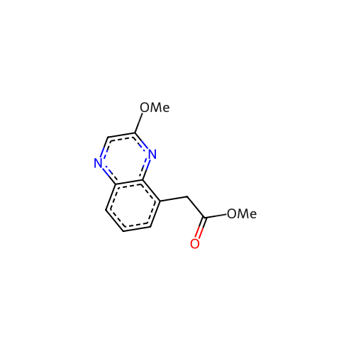 COC(=O)Cc1cccc2ncc(OC)nc12